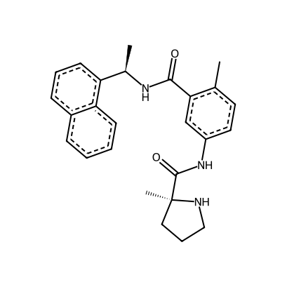 Cc1ccc(NC(=O)[C@]2(C)CCCN2)cc1C(=O)N[C@H](C)c1cccc2ccccc12